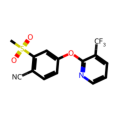 CS(=O)(=O)c1cc(Oc2ncccc2C(F)(F)F)ccc1C#N